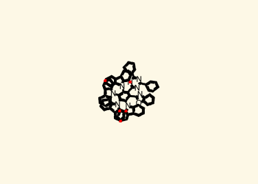 c1ccc(-c2nc(-c3ccccc3)nc(-c3c(-c4nc5ccccc5o4)c(-n4c5ccccc5c5ccccc54)c(-n4c5ccccc5c5ccccc54)c(-n4c5ccccc5c5ccccc54)c3-n3c4ccccc4c4ccccc43)n2)cc1